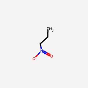 [CH2]C[CH][N+](=O)[O-]